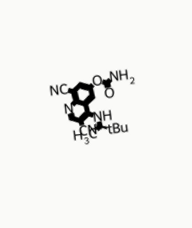 C[C@@H](Nc1c(C#N)cnc2c(C#N)cc(OC(N)=O)cc12)C(C)(C)C